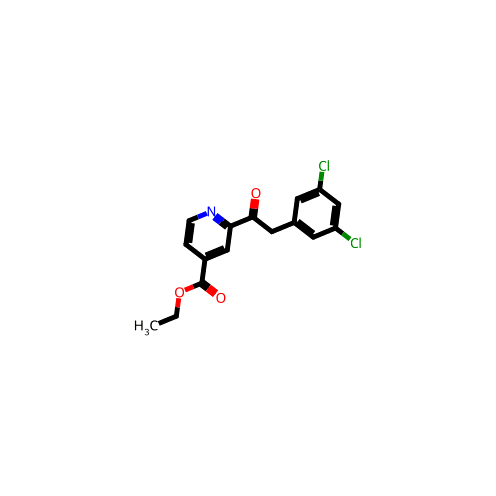 CCOC(=O)c1ccnc(C(=O)Cc2cc(Cl)cc(Cl)c2)c1